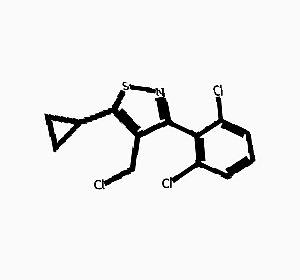 ClCc1c(-c2c(Cl)cccc2Cl)nsc1C1CC1